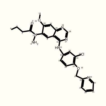 CCCC(=O)N(N)c1cc2c(Nc3ccc(OCc4ccccn4)c(Cl)c3)ncnc2cc1OC